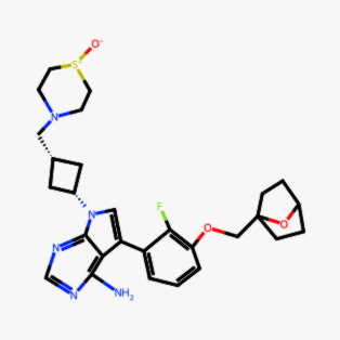 Nc1ncnc2c1c(-c1cccc(OCC34CCC(CC3)O4)c1F)cn2[C@H]1C[C@@H](CN2CC[S+]([O-])CC2)C1